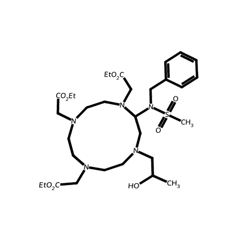 CCOC(=O)CN1CCN(CC(=O)OCC)CCN(CC(=O)OCC)C(N(Cc2ccccc2)S(C)(=O)=O)CN(CC(C)O)CC1